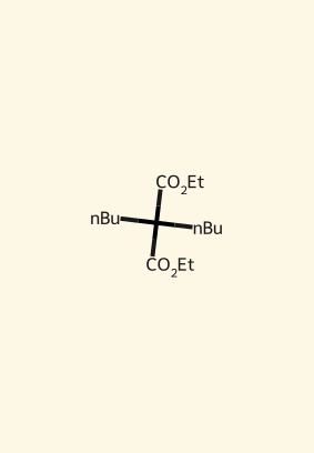 CCCCC(CCCC)(C(=O)OCC)C(=O)OCC